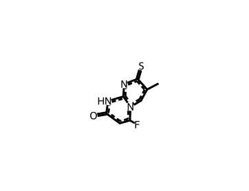 Cc1cn2c(F)cc(=O)[nH]c2nc1=S